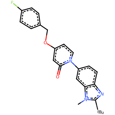 Cn1c(C(C)(C)C)nc2ccc(-n3ccc(OCc4ccc(F)cc4)cc3=O)cc21